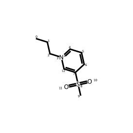 CCC[n+]1cccc(S(C)(=O)=O)c1